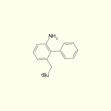 CC(C)(C)Cc1cccc(N)c1-c1ccccc1